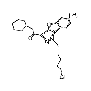 Cc1ccc2c(c1)oc1c(C(=O)CC3CCCCC3)nn(CCCCCCl)c12